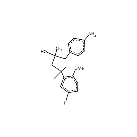 COc1ccc(F)cc1C(C)(C)CC(O)(Cc1ccc(N)cc1)C(F)(F)F